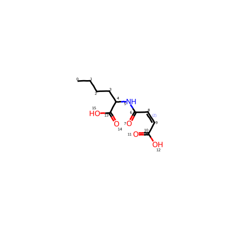 CCCCC(NC(=O)/C=C\C(=O)O)C(=O)O